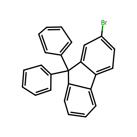 Brc1ccc2c(c1)C(c1ccccc1)(c1ccccc1)c1ccccc1-2